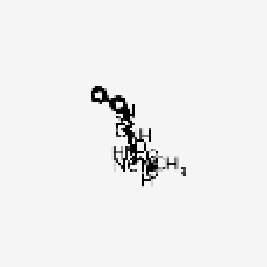 CS(=O)(=O)NCC(C#N)NC(=O)CNC(=O)Cc1nc2ccc(-c3ccccc3)cc2s1